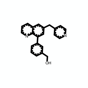 OCc1cccc(-c2cc(Cc3ccncc3)cc3cccnc23)c1